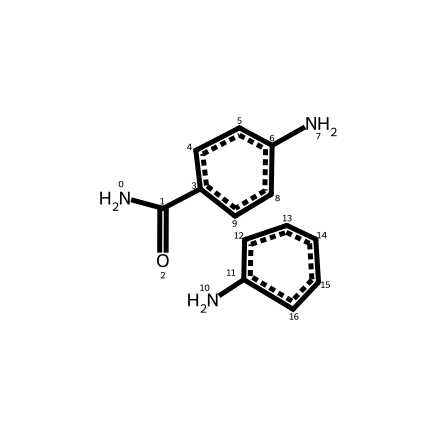 NC(=O)c1ccc(N)cc1.Nc1ccccc1